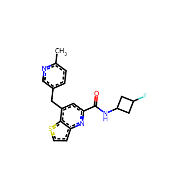 Cc1ccc(Cc2cc(C(=O)NC3CC(F)C3)nc3ccsc23)cn1